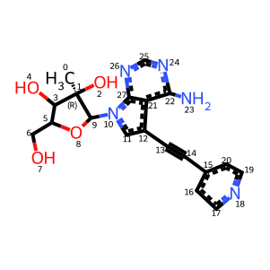 C[C@@]1(O)C(O)C(CO)OC1n1cc(C#Cc2ccncc2)c2c(N)ncnc21